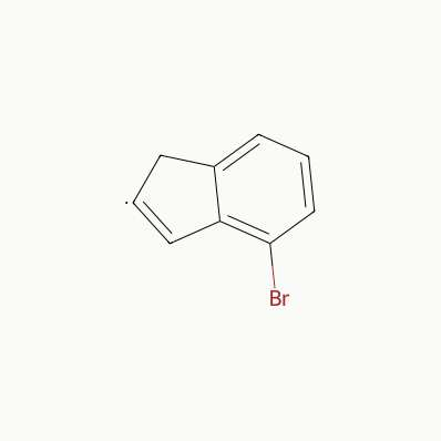 Brc1cccc2c1C=[C]C2